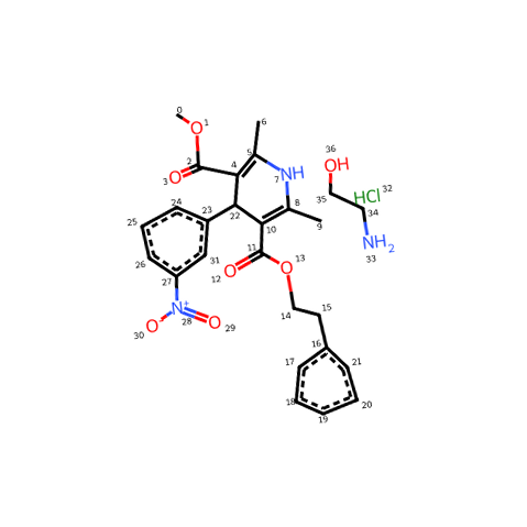 COC(=O)C1=C(C)NC(C)=C(C(=O)OCCc2ccccc2)C1c1cccc([N+](=O)[O-])c1.Cl.NCCO